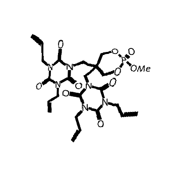 C=CCn1c(=O)n(CC=C)c(=O)n(CC2(Cn3c(=O)n(CC=C)c(=O)n(CC=C)c3=O)COP(=O)(OC)OC2)c1=O